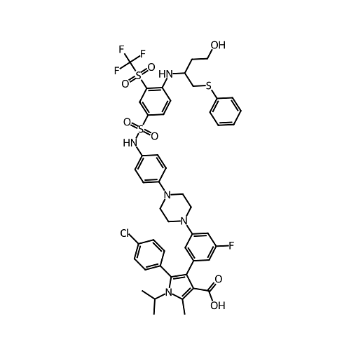 Cc1c(C(=O)O)c(-c2cc(F)cc(N3CCN(c4ccc(NS(=O)(=O)c5ccc(NC(CCO)CSc6ccccc6)c(S(=O)(=O)C(F)(F)F)c5)cc4)CC3)c2)c(-c2ccc(Cl)cc2)n1C(C)C